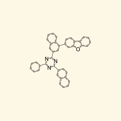 c1ccc(-c2nc(-c3ccc4ccccc4c3)nc(-c3cc(-c4ccc5c(c4)oc4ccccc45)c4ccccc4c3)n2)cc1